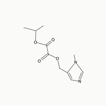 CC(C)OC(=O)C(=O)OCc1cncn1C